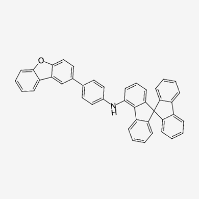 c1ccc2c(c1)-c1ccccc1C21c2ccccc2-c2c(Nc3ccc(-c4ccc5oc6ccccc6c5c4)cc3)cccc21